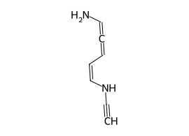 C#CN/C=C\C=C=CN